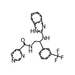 O=C(NCC(Nc1nc2ccccc2[nH]1)c1cccc(C(F)(F)F)c1)c1ccncn1